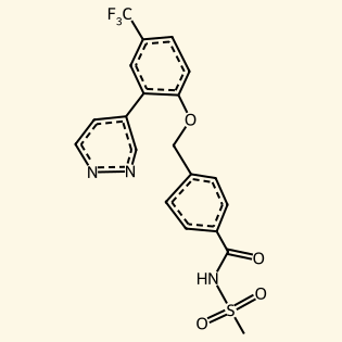 CS(=O)(=O)NC(=O)c1ccc(COc2ccc(C(F)(F)F)cc2-c2ccnnc2)cc1